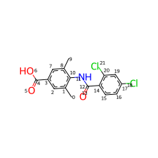 Cc1cc(C(=O)O)cc(C)c1NC(=O)c1ccc(Cl)cc1Cl